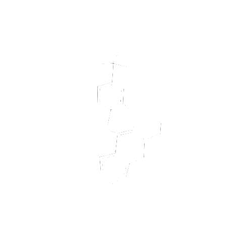 CC(C)N1C=C(Oc2ccc(C(F)(F)F)cc2)c2ccccc2C1